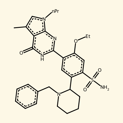 CCCn1cc(C)c2c(=O)[nH]c(-c3cc(C4CCCCN4Cc4ccccc4)c(S(N)(=O)=O)cc3OCC)nc21